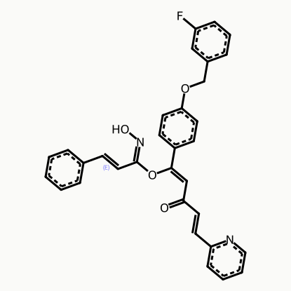 O=C(C=Cc1ccccn1)C=C(OC(/C=C/c1ccccc1)=NO)c1ccc(OCc2cccc(F)c2)cc1